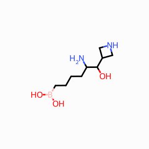 NC(CCCCB(O)O)C(O)C1CNC1